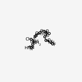 NC1(C(=O)N[C@@H](CCN2CCN(C(=O)CN3CCC(OC4CCN(C(=O)[C@H](NC(=O)c5cccc(C6CCCN(C(=O)CNCc7ccc(F)cc7F)C6)c5)C5CCCCC5)CC4)CC3)CC2)c2ccc(Cl)cc2)CCN(c2ncnc3[nH]ccc23)CC1